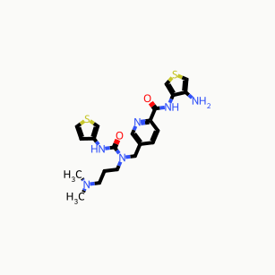 CN(C)CCCN(Cc1ccc(C(=O)Nc2cscc2N)nc1)C(=O)Nc1ccsc1